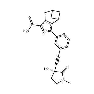 CN1CC[C@@](O)(C#Cc2ccnc(-n3nc(C(N)=O)c4c3C3CC(C4)C3)c2)C1=O